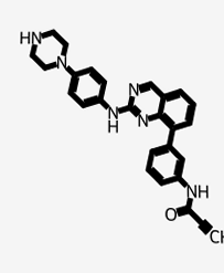 C#CC(=O)Nc1cccc(-c2cccc3cnc(Nc4ccc(N5CCNCC5)cc4)nc23)c1